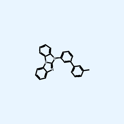 Cc1cccc(-c2cccc(-n3c4ccccc4n4c5ccccc5nc34)c2)c1